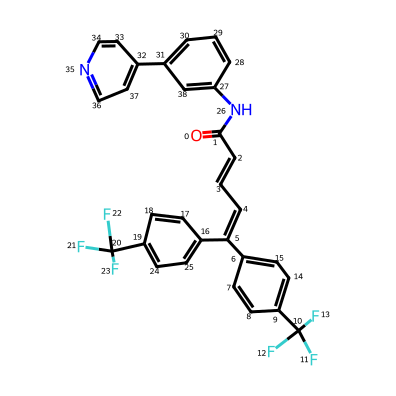 O=C(/C=C/C=C(c1ccc(C(F)(F)F)cc1)c1ccc(C(F)(F)F)cc1)Nc1cccc(-c2ccncc2)c1